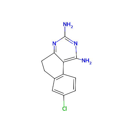 Nc1nc(N)c2c(n1)CCc1cc(Cl)ccc1-2